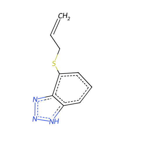 C=CCSc1cccc2[nH]nnc12